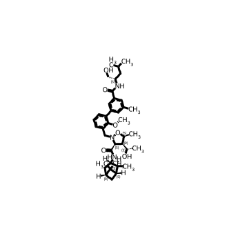 COc1c(CN2O[C@@H](C)[C@@H]([C@H](C)O)[C@H]2C(=O)N[C@H]2C[C@H]3C[C@@H]([C@@H]2C)C3(C)C)cccc1-c1cc(C)cc(C(=O)N[C@H](CO)CC(C)C)c1